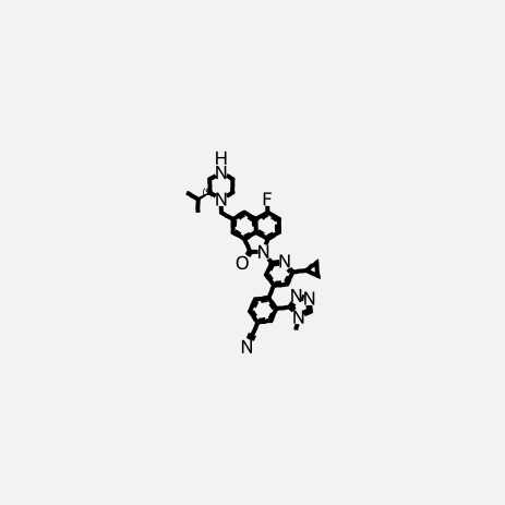 CC(C)[C@H]1CNCCN1Cc1cc2c3c(ccc(F)c3c1)N(c1cc(-c3ccc(C#N)cc3-c3nncn3C)cc(C3CC3)n1)C2=O